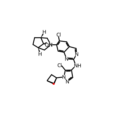 C[C@]1(O)[C@@H]2CC[C@H]1CN(c1cc3nc(Nc4cnn(C56CC(C5)C6)c4Cl)ncc3cc1Cl)C2